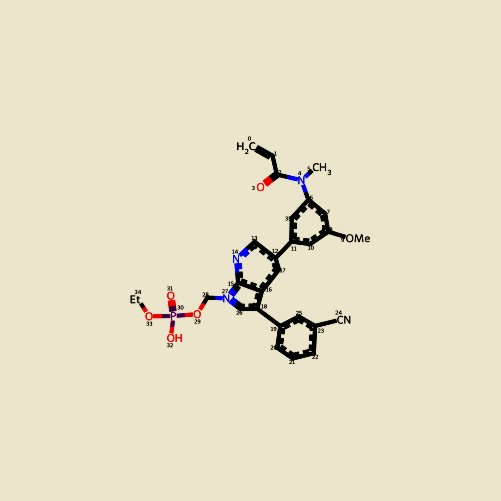 C=CC(=O)N(C)c1cc(OC)cc(-c2cnc3c(c2)c(-c2cccc(C#N)c2)cn3COP(=O)(O)OCC)c1